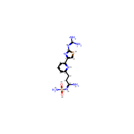 NC(N)=Nc1nc(-c2cccc(CC/C(N)=N\S(N)(=O)=O)n2)cs1